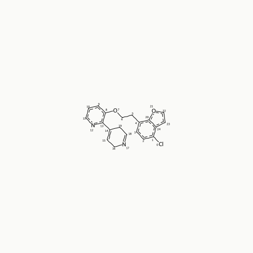 Clc1ccc(CCOc2cccnc2C2=CCN=CC2)c2occc12